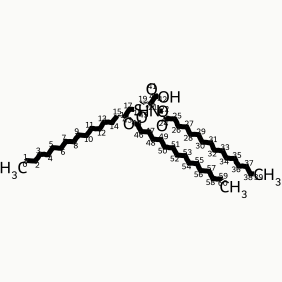 CCCCCCCCCCCCCCCC[C@H](CSC[C@@H](NOC(=O)CCCCCCCCCCCCCCC)C(=O)O)OC(=O)CCCCCCCCCCCCCCC